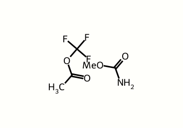 CC(=O)OC(F)(F)F.COC(N)=O